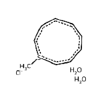 C[s+]1cccccccc1.O.O.[Cl-]